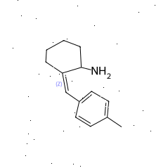 Cc1ccc(/C=C2/CCCCC2N)cc1